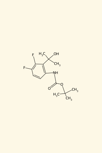 CC(C)(C)OC(=O)Nc1ccc(F)c(F)c1C(C)(C)O